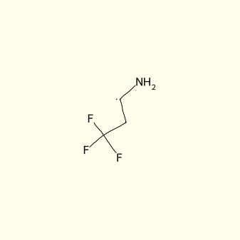 N[CH]CC(F)(F)F